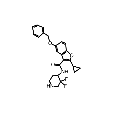 O=C(NC1CCNCC1(F)F)c1c(C2CC2)oc2ccc(OCc3ccccc3)cc12